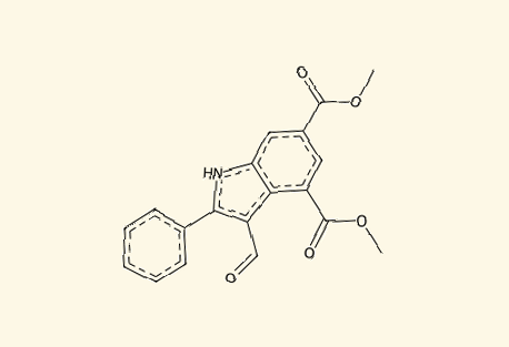 COC(=O)c1cc(C(=O)OC)c2c(C=O)c(-c3ccccc3)[nH]c2c1